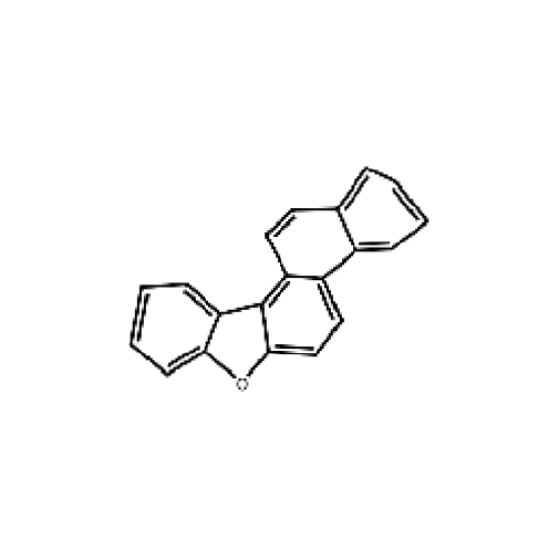 c1ccc2c(c1)ccc1c2ccc2oc3ccccc3c21